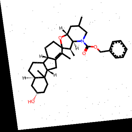 CC1=C2C[C@H]3C(CC[C@@H]4C[C@@H](O)CCC43C)[C@@H]2CCC12O[C@@H]1CC(C)CN(C(=O)OCc3ccccc3)[C@H]1[C@H]2C